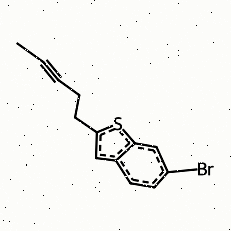 CC#CCCc1cc2ccc(Br)cc2s1